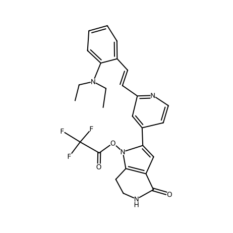 CCN(CC)c1ccccc1C=Cc1cc(-c2cc3c(n2OC(=O)C(F)(F)F)CCNC3=O)ccn1